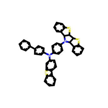 c1ccc(-c2ccc(N(c3ccc(N4C5c6ccccc6SC5C5Sc6ccccc6C54)cc3)c3ccc4c(c3)sc3ccccc34)cc2)cc1